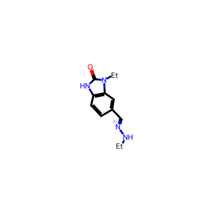 CCN/N=C/c1ccc2[nH]c(=O)n(CC)c2c1